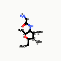 COCC1OC(C)C(NC(=O)CN)[C@@H](OC)[C@@H]1OC